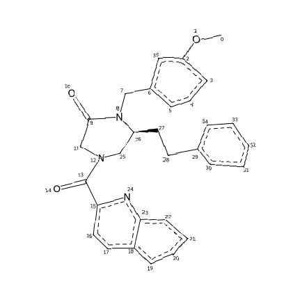 COc1cccc(CN2C(=O)CN(C(=O)c3ccc4ccccc4n3)C[C@@H]2CCc2ccccc2)c1